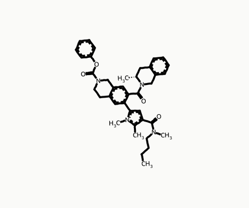 CCCCN(C)C(=O)c1cc(-c2cc3c(cc2C(=O)N2Cc4ccccc4C[C@H]2C)CN(C(=O)Oc2ccccc2)CC3)n(C)c1C